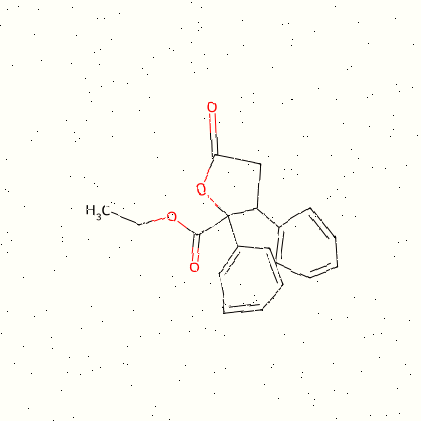 CCOC(=O)C1(c2ccccc2)OC(=O)CC1c1ccccc1